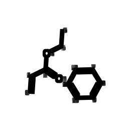 C=CC(=O)OCC.c1ccccc1